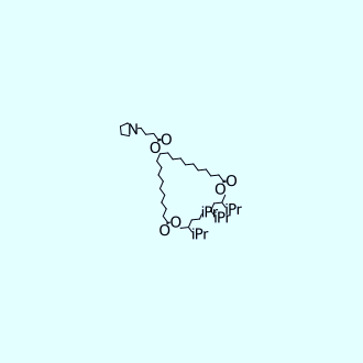 CC(C)CCC(COC(=O)CCCCCCCCCC(CCCCCCCCCC(=O)OCC(CCC(C)C)C(C)C)OC(=O)CCCN1CCCC1)C(C)C